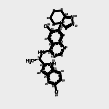 C[C@H](Nc1ncnc2cc([N+]34C=NN=C3CCCC4)c(Cl)cc12)c1nc2cc(Cl)ccc2[nH]1